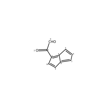 O=CC(=O)C1=C2C=CC=C2C=C1